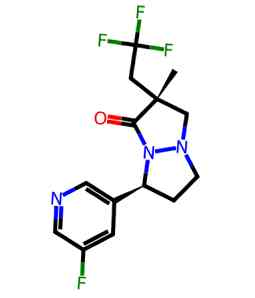 C[C@@]1(CC(F)(F)F)CN2CC[C@@H](c3cncc(F)c3)N2C1=O